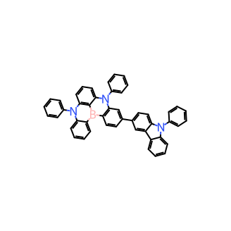 c1ccc(N2c3ccccc3B3c4ccc(-c5ccc6c(c5)c5ccccc5n6-c5ccccc5)cc4N(c4ccccc4)c4cccc2c43)cc1